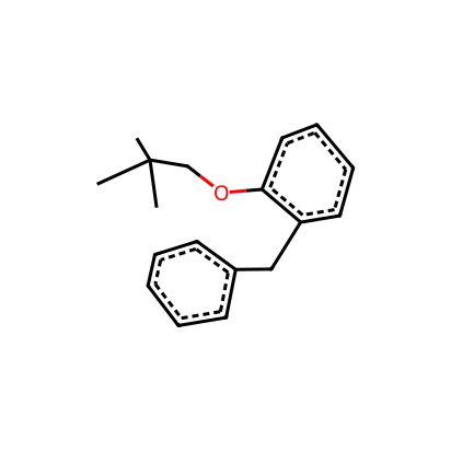 CC(C)(C)COc1ccccc1Cc1ccccc1